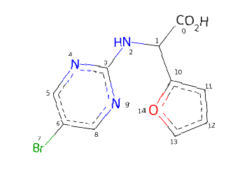 O=C(O)C(Nc1ncc(Br)cn1)c1ccco1